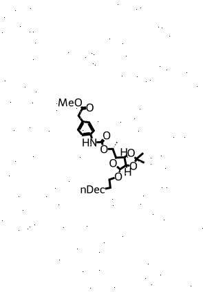 CCCCCCCCCCCCO[C@H]1O[C@H]([C@@H](C)OC(=O)Nc2ccc(CC(=O)OC)cc2)[C@@H]2OC(C)(C)O[C@H]12